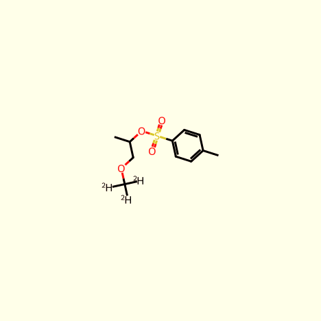 [2H]C([2H])([2H])OCC(C)OS(=O)(=O)c1ccc(C)cc1